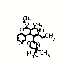 CCOC(=O)C1=C(C)NC(CC)=C(C2=NC(C)(C)CO2)C1c1cccnc1